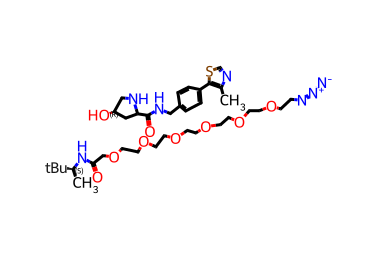 C[C@H](NC(=O)COCCOCCOCCOCCOCCOCCN=[N+]=[N-])C(C)(C)C.Cc1ncsc1-c1ccc(CNC(=O)C2C[C@@H](O)CN2)cc1